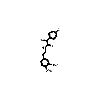 COc1ccc(CCNC(=O)C(O)c2ccc(Cl)cc2)cc1OC